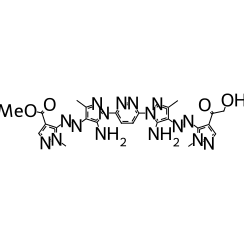 COC(=O)c1cnn(C)c1/N=N/c1c(C)nn(-c2ccc(-n3nc(C)c(/N=N/c4c(C(=O)CO)cnn4C)c3N)nn2)c1N